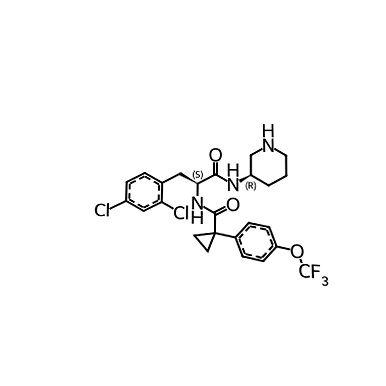 O=C(N[C@@H]1CCCNC1)[C@H](Cc1ccc(Cl)cc1Cl)NC(=O)C1(c2ccc(OC(F)(F)F)cc2)CC1